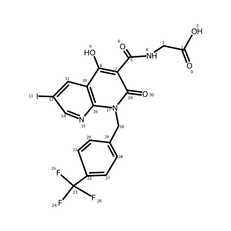 O=C(O)CNC(=O)c1c(O)c2cc(I)cnc2n(Cc2ccc(C(F)(F)F)cc2)c1=O